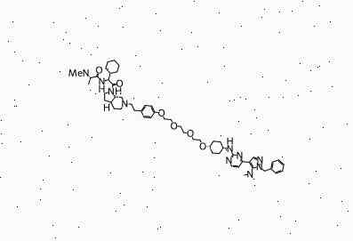 CN[C@@H](C)C(=O)N[C@H](C(=O)N1CC[C@@H]2CCN(CCc3ccc(OCCOCCOCCO[C@H]4CC[C@H](Nc5nccc(-c6cnn(Cc7ccccc7)c6N(C)C)n5)CC4)cc3)C[C@@H]21)C1CCCCC1